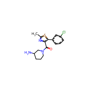 Cc1nc(C(=O)N2CCCC(N)C2)c(-c2cccc(Cl)c2)s1